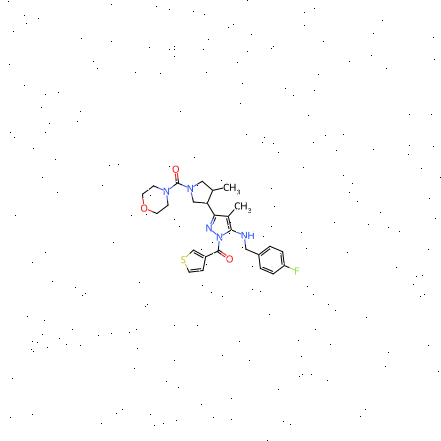 Cc1c(C2CN(C(=O)N3CCOCC3)CC2C)nn(C(=O)c2ccsc2)c1NCc1ccc(F)cc1